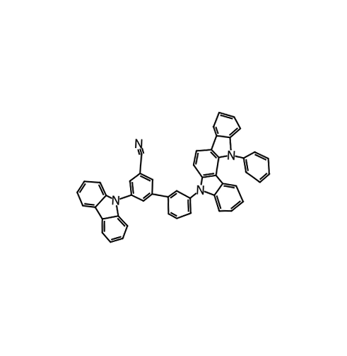 N#Cc1cc(-c2cccc(-n3c4ccccc4c4c3ccc3c5ccccc5n(-c5ccccc5)c34)c2)cc(-n2c3ccccc3c3ccccc32)c1